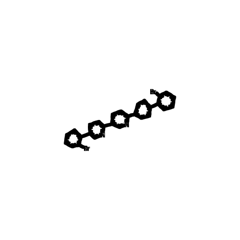 Brc1ccccc1-c1ccc(-c2ccc(-c3ccc(-c4ccccc4Br)cn3)cn2)cc1